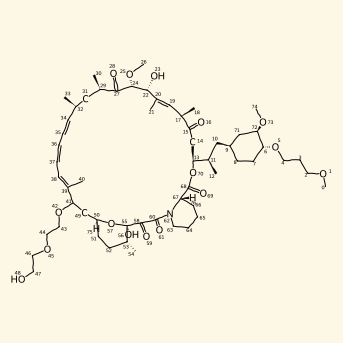 COCCCO[C@@H]1CC[C@@H](C[C@@H](C)[C@@H]2CC(=O)[C@H](C)/C=C(\C)[C@@H](O)[C@@H](OC)C(=O)[C@H](C)C[C@H](C)/C=C/C=C/C=C(\C)C(OCCOCCO)C[C@@H]3CC[C@@H](C)[C@@](O)(O3)C(=O)C(=O)N3CCCC[C@H]3C(=O)O2)C[C@H]1OC